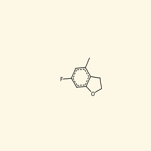 Cc1cc(F)cc2c1CCO2